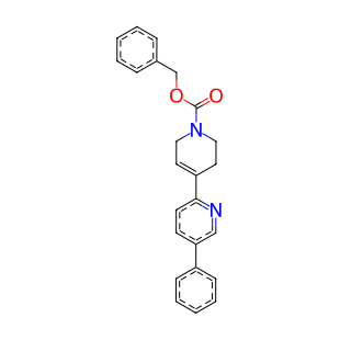 O=C(OCc1ccccc1)N1CC=C(c2ccc(-c3ccccc3)cn2)CC1